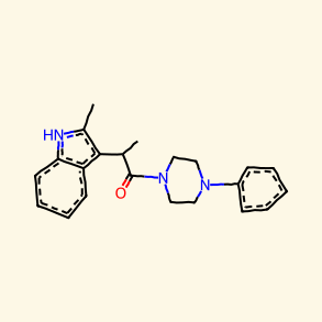 Cc1[nH]c2ccccc2c1C(C)C(=O)N1CCN(c2ccccc2)CC1